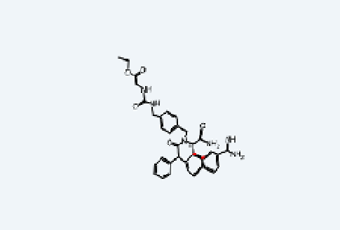 CCOC(=O)CNC(=O)NCc1ccc(CN(C(=O)C(c2ccccc2)c2ccccc2)[C@H](Cc2cccc(C(=N)N)c2)C(N)=O)cc1